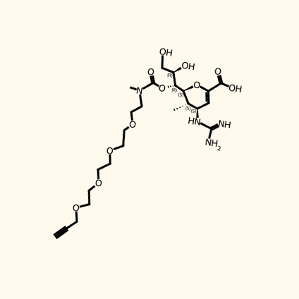 C#CCOCCOCCOCCOCCN(C)C(=O)O[C@@H]([C@H]1OC(C(=O)O)=C[C@@H](NC(=N)N)[C@@H]1C)[C@H](O)CO